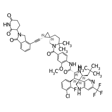 COc1cc(C(=O)N2C[C@@]3(CCC2(C)C)C[C@H]3C#Cc2cccc3c2CN(C2CCC(=O)NC2=O)C3=O)ccc1NC(=O)[C@@H]1N[C@@H](CC(C)(C)C)[C@@]2(CNc3cc(C(F)(F)F)ncc32)[C@H]1c1cccc(Cl)c1F